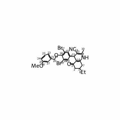 CCC1CC(=O)C2=C(C1)NC(C)=C(C#N)C2c1cc(Br)c(OCc2cccc(OC)c2)c(Br)c1